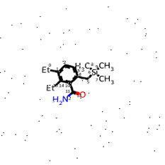 CCc1ccc(C[Si](C)(C)C)c(C(N)=O)c1CC